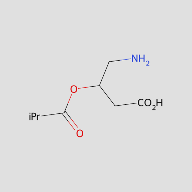 CC(C)C(=O)OC(CN)CC(=O)O